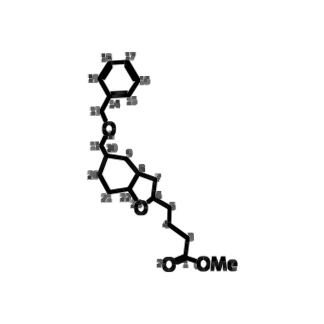 COC(=O)CCCC1CC2CC(COCc3ccccc3)CCC2O1